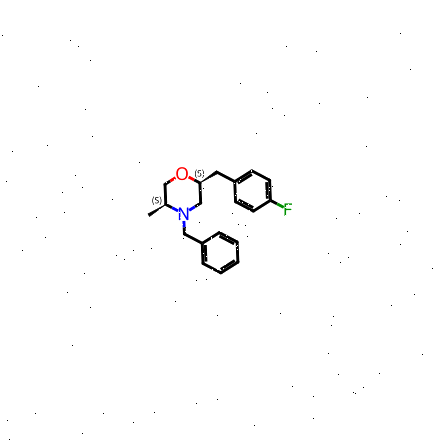 C[C@H]1CO[C@@H](Cc2ccc(F)cc2)CN1Cc1ccccc1